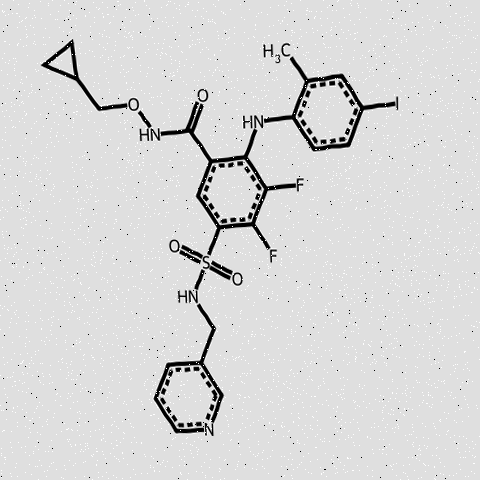 Cc1cc(I)ccc1Nc1c(C(=O)NOCC2CC2)cc(S(=O)(=O)NCc2cccnc2)c(F)c1F